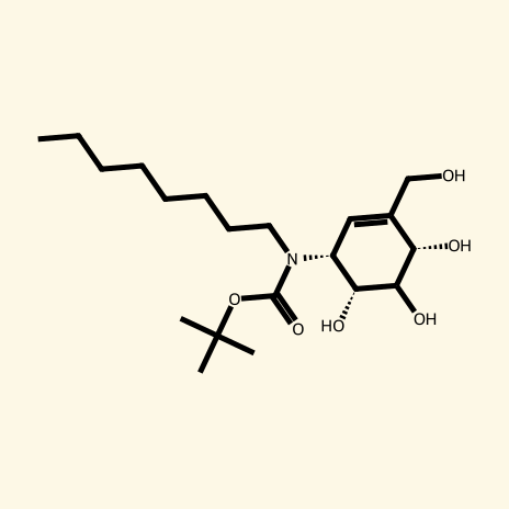 CCCCCCCCN(C(=O)OC(C)(C)C)[C@@H]1C=C(CO)[C@H](O)C(O)[C@@H]1O